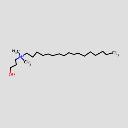 CCCCCCCCCCCCCCCCC[N+](C)(C)CCCO